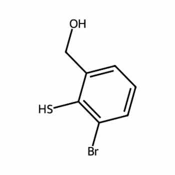 OCc1cccc(Br)c1S